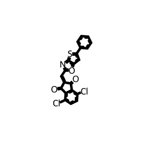 O=C1C(=Cc2nc3sc(-c4ccccc4)cc3o2)C(=O)c2c(Cl)ccc(Cl)c21